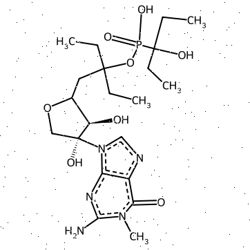 CCC(CC)(CC1OC[C@](O)(n2cnc3c(=O)n(C)c(N)nc32)[C@@H]1O)OP(=O)(O)C(O)(CC)CC